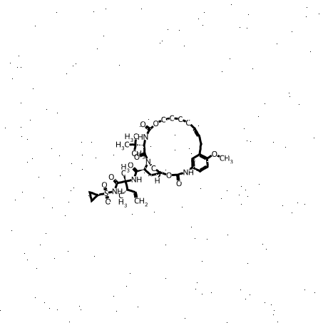 C=C[C@H](C)[C@@](C)(NC(=O)[C@@H]1C[C@@H]2CN1C(=O)[C@H](C(C)(C)C)NC(=O)OCCCC/C=C\Cc1cc(ccc1OC)NC(=O)O2)C(=O)NS(=O)(=O)C1CC1